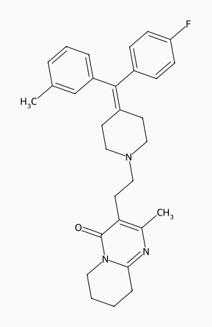 Cc1cccc(C(=C2CCN(CCc3c(C)nc4n(c3=O)CCCC4)CC2)c2ccc(F)cc2)c1